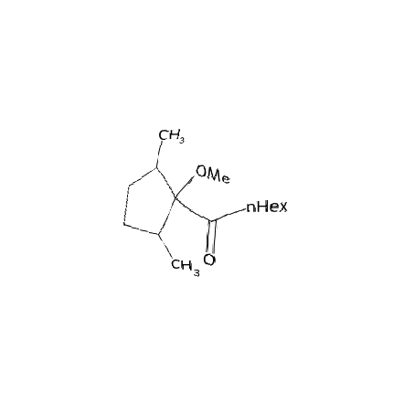 CCCCCCC(=O)C1(OC)C(C)CCC1C